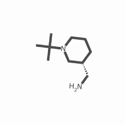 CC(C)(C)N1CCC[C@H](CN)C1